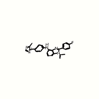 Cc1ncnn1-c1ccc(Nc2cccc3c2nc(-c2ccc(F)cc2)n3C(C)C)cc1